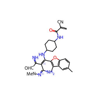 C=C(C#N)C(=O)NC1CCC(N/C(=C(C(=N)C=O)/C(N)=N\NC)c2oc3ccc(C)cc3c2C)CC1